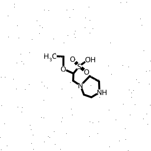 CCOC(CN1CCNCC1)S(=O)(=O)O